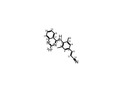 [2H]c1nc(Nc2c(C)cc(C=CC#N)cc2C)c2ccccc2n1